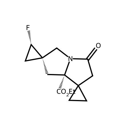 CCOC(=O)[C@]12C[C@@]3(C[C@@H]3F)CN1C(=O)CC21CC1